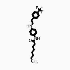 CCCCCCCC(=O)Nc1ccc(NCCc2ccc(C(F)(F)F)cc2)cc1